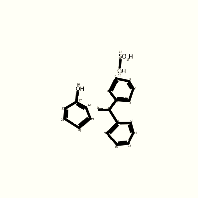 CC(c1ccccc1)c1ccccc1.O=S(=O)(O)O.Oc1ccccc1